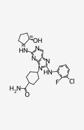 NC(=O)C1CCC(n2c(Nc3cccc(Cl)c3F)nc3cnc(N[C@@H]4CCC[C@H]4O)nc32)CC1